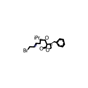 CC(C)[C@H](C/C=C/CBr)C(=O)C1C(=O)OC[C@@H]1Cc1ccccc1